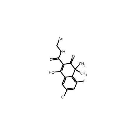 CC(=O)CNC(=O)C1=C(O)c2cc(Cl)cc(F)c2C(C)(C)C1=O